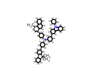 CC1CC=C(c2ccc(N(c3ccc(-c4ccc5c(c4)C(C)(C)c4ccccc4-5)cc3)c3cccc(-c4ccc5c(c4)c4ccccc4n5-c4ccccc4)c3)cc2)c2ccc3ccccc3c21